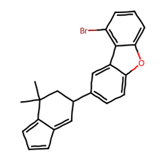 CC1(C)CC(c2ccc3oc4cccc(Br)c4c3c2)C=C2C=CC=C21